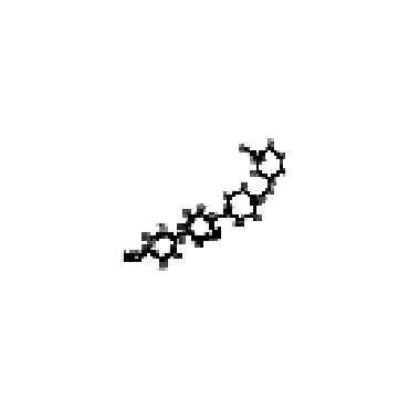 CN1CCCC(CN2CCN(c3ccc(-c4ccc(C#N)cc4)nn3)CC2)C1